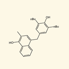 CCCCc1cc(Cc2cc(C)c(O)c3ccccc23)cc(CCCC)c1O